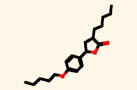 CCCCCOc1ccc(C2CC(CCCCC)C(=O)O2)cc1